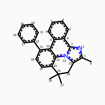 Cc1nc2c3ccccc3c3c(-c4ccccc4)ccc4c3n2c1CC4(C)C